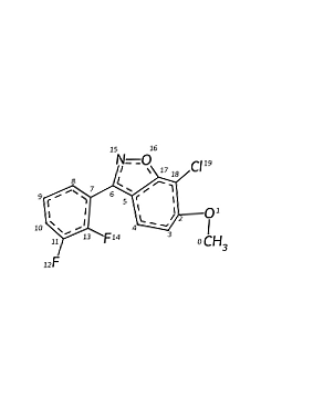 COc1ccc2c(-c3cccc(F)c3F)noc2c1Cl